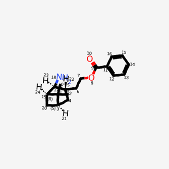 CC1(C)[C@H]2C[C@@H](CCOC(=O)c3ccccc3)[C@H](N)[C@@H]1C2